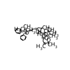 C=C1C[C@H](CCCO[Si](c2ccccc2)(c2ccccc2)C(C)(C)C)OC1CC[C@H](C[C@@H](C)C(C)=O)O[Si](C)(C)C(C)(C)C